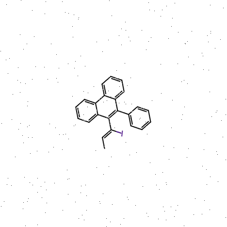 C/C=C(\I)c1c(-c2ccccc2)c2ccccc2c2ccccc12